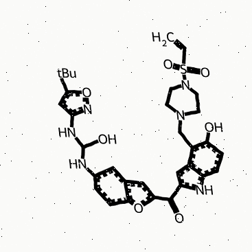 C=CS(=O)(=O)N1CCN(Cc2c(O)ccc3[nH]c(C(=O)c4cc5cc(NC(O)Nc6cc(C(C)(C)C)on6)ccc5o4)cc23)CC1